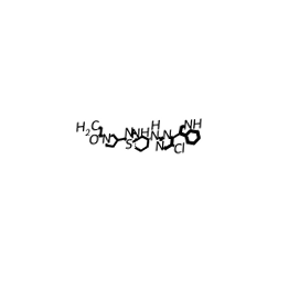 C=CC(=O)N1CCC(C2=NN[C@]3(CCC[C@@H](Nc4ncc(Cl)c(-c5c[nH]c6ccccc56)n4)C3)S2)C1